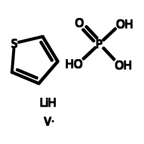 O=P(O)(O)O.[LiH].[V].c1ccsc1